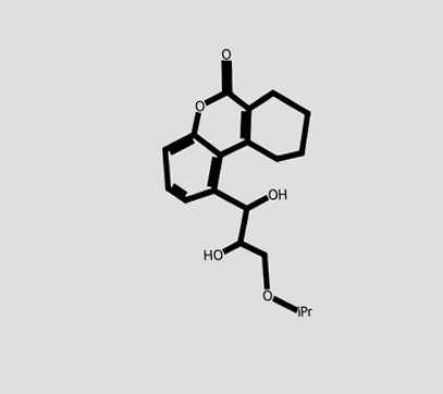 CC(C)OCC(O)C(O)c1cccc2oc(=O)c3c(c12)CCCC3